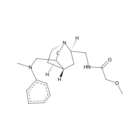 COCC(=O)NC[C@H]1C[C@@H]2CC[N@@]1C[C@@H]2CN(C)c1ccccc1